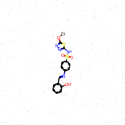 CCOc1nnc(NS(=O)(=O)c2ccc(/N=C/c3ccccc3O)cc2)s1